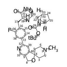 CN1CCC2(CC1)OCc1cnc(-c3ccc(C[C@H](NC(=O)[C@@H]4[C@H]5CC[C@H](C5)N4C(=O)OC(C)(C)C)C(N)=O)c(F)c3)cc12